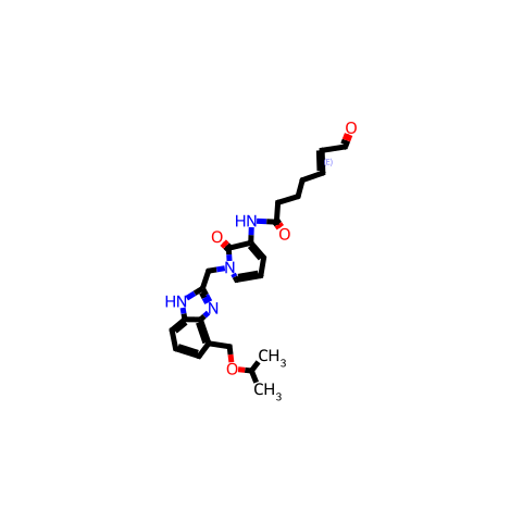 CC(C)OCc1cccc2[nH]c(Cn3cccc(NC(=O)CCC/C=C/C=O)c3=O)nc12